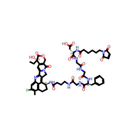 CC[C@@]1(O)C(=O)OCc2c1cc1n(c2=O)Cc2c-1nc1cc(F)c(C)c3c1c2[C@@H](NC(=O)CCCNC(=O)CNC(=O)[C@H](Cc1ccccc1)NC(=O)CNC(=O)CNC(=O)[C@H](CC(=O)O)NC(=O)CCCCCN1C(=O)C=CC1=O)CC3